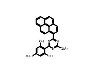 COc1cc(O)c(-c2nc(OC)nc(-c3ccc4ccc5cccc6ccc3c4c56)n2)c(O)c1